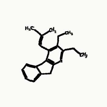 CCc1nc2c(c(C=C(C)C)c1CC)-c1ccccc1C2